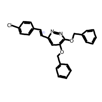 Clc1ccc(/C=C/c2cc(OCc3ccccc3)c(OCc3ccccc3)nn2)cc1